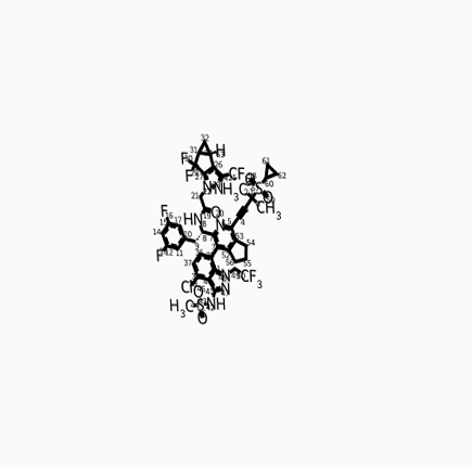 CC(C)(C#Cc1nc([C@H](Cc2cc(F)cc(F)c2)NC(=O)Cn2nc(C(F)(F)F)c3c2C(F)(F)C2C[C@H]32)c(-c2ccc(Cl)c3c(NS(C)(=O)=O)nn(CC(F)(F)F)c23)c2c1CCC2)S(=O)(=O)C1CC1